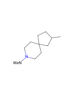 CNN1CCC2(CCC(C)C2)CC1